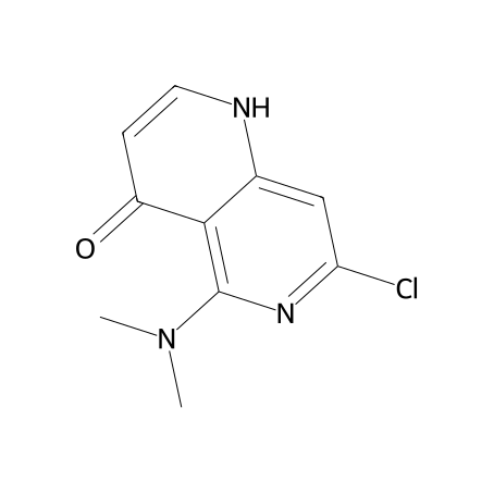 CN(C)c1nc(Cl)cc2[nH]ccc(=O)c12